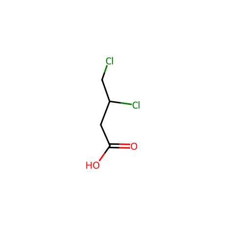 O=C(O)CC(Cl)CCl